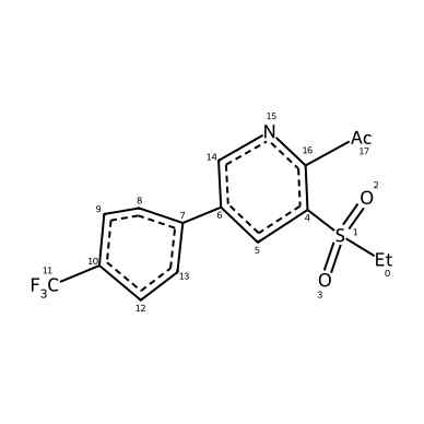 CCS(=O)(=O)c1cc(-c2ccc(C(F)(F)F)cc2)cnc1C(C)=O